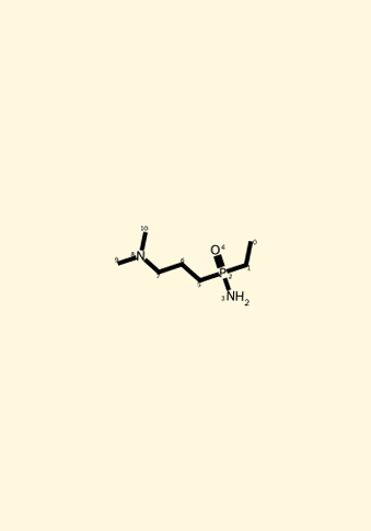 CCP(N)(=O)CCCN(C)C